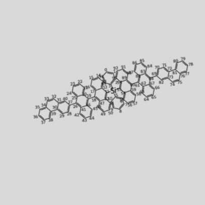 c1ccc([Si](c2ccccc2)(c2c3ccccc3c(-c3c4ccccc4c(-c4ccc5c(ccc6ccccc65)c4)c4ccccc34)c3ccccc23)c2c3ccccc3c(-c3c4ccccc4c(-c4ccc5c(ccc6ccccc65)c4)c4ccccc34)c3ccccc23)cc1